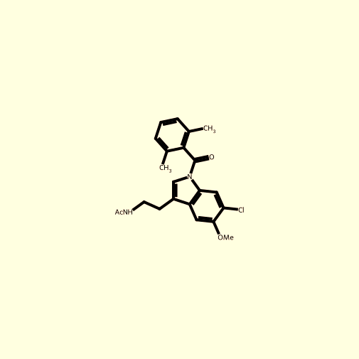 COc1cc2c(CCNC(C)=O)cn(C(=O)c3c(C)cccc3C)c2cc1Cl